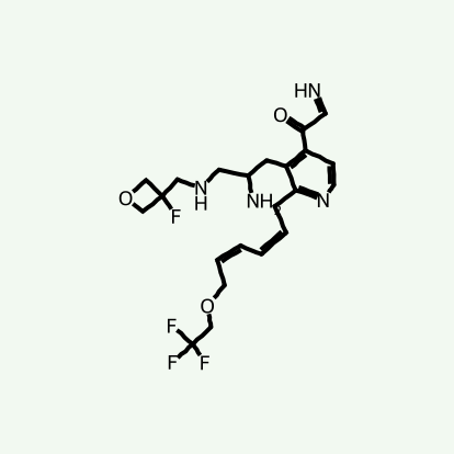 N=CC(=O)c1ccnc(C/C=C\C=C/COCC(F)(F)F)c1CC(N)CNCC1(F)COC1